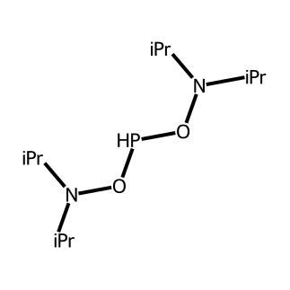 CC(C)N(OPON(C(C)C)C(C)C)C(C)C